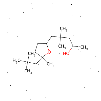 CC(O)CC(C)(C)CC1CCC(C)(CC(C)(C)C)O1